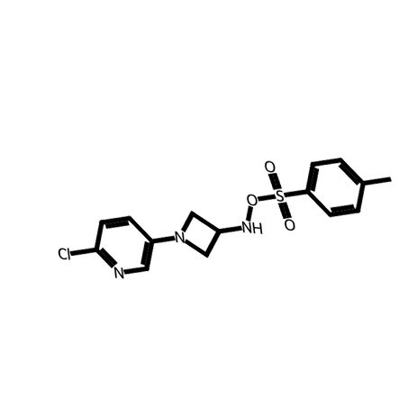 Cc1ccc(S(=O)(=O)ONC2CN(c3ccc(Cl)nc3)C2)cc1